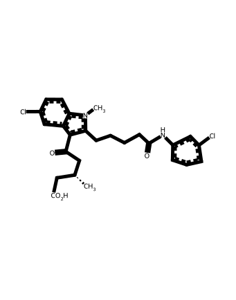 C[C@H](CC(=O)O)CC(=O)c1c(CCCCC(=O)Nc2cccc(Cl)c2)n(C)c2ccc(Cl)cc12